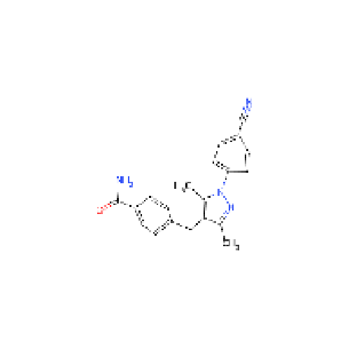 Cc1nn(-c2ccc(C#N)cc2)c(C)c1Cc1ccc(C(N)=O)cc1